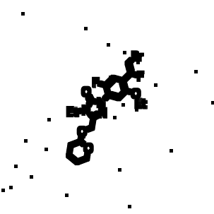 CCOc1cc(-n2nc(COC3CCCCO3)n(CC)c2=O)c(F)cc1/C(F)=C/Br